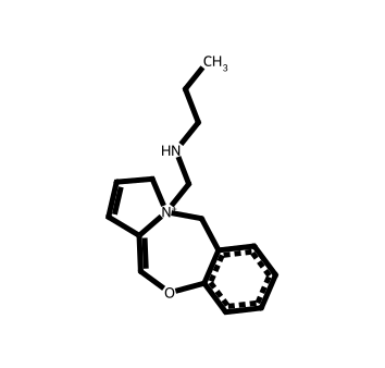 CCCNC[N+]12CC=CC1=COc1ccccc1C2